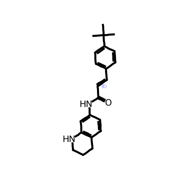 CC(C)(C)c1ccc(/C=C/C(=O)Nc2ccc3c(c2)NCCC3)cc1